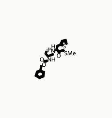 CSCC(=O)C(Cc1cccs1)NCC(CC(C)C)NC(=O)OCc1ccccc1